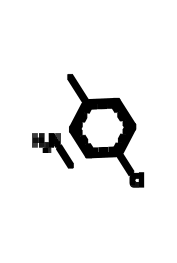 CN.Cc1ccc(Cl)cc1